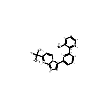 CC(C)(F)c1ccn2c(-c3cccc(-c4ncccc4C#N)n3)cnc2n1